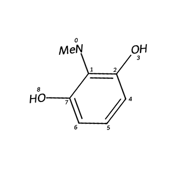 CNc1c(O)cccc1O